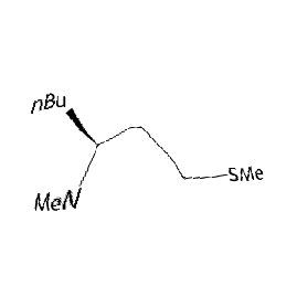 CCCC[C@@H](CCSC)NC